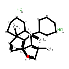 CC1=[C]([Zr](=[SiH2])([C]2=C(C)C=CC2C)([CH]2CCCCC2)[CH]2CCCCC2)C(C)C=C1.Cl.Cl